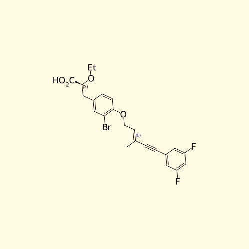 CCO[C@@H](Cc1ccc(OC/C=C(\C)C#Cc2cc(F)cc(F)c2)c(Br)c1)C(=O)O